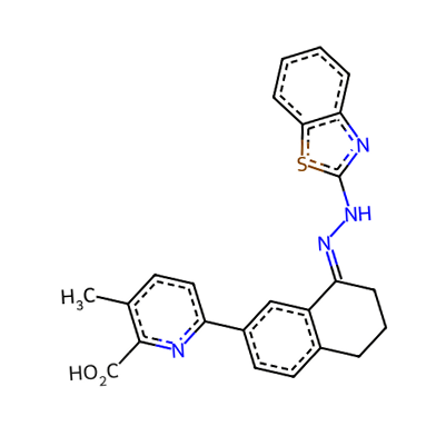 Cc1ccc(-c2ccc3c(c2)/C(=N/Nc2nc4ccccc4s2)CCC3)nc1C(=O)O